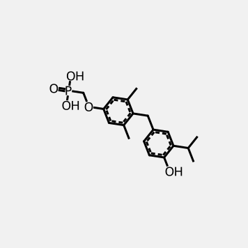 Cc1cc(OCP(=O)(O)O)cc(C)c1Cc1ccc(O)c(C(C)C)c1